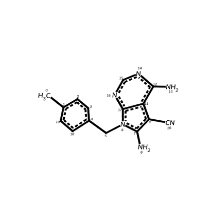 Cc1ccc(Cn2c(N)c(C#N)c3c(N)ncnc32)cc1